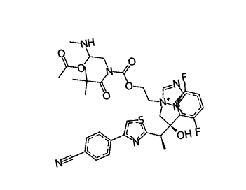 CNC(CN(C(=O)OCC[N+]1(C[C@](O)(c2cc(F)ccc2F)[C@@H](C)c2nc(-c3ccc(C#N)cc3)cs2)C=NC=N1)C(=O)C(C)(C)C)OC(C)=O